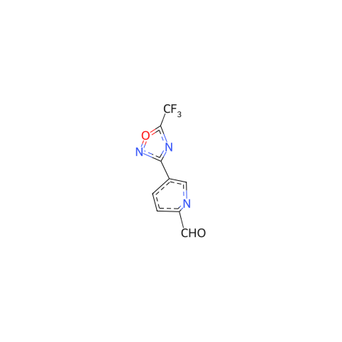 O=Cc1ccc(-c2noc(C(F)(F)F)n2)cn1